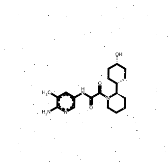 Cc1cc(NC(=O)C(=O)N2CCCC[C@@H]2[C@H]2CC[C@@H](O)CC2)cnc1N